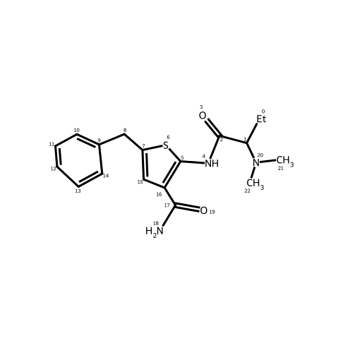 CCC(C(=O)Nc1sc(Cc2ccccc2)cc1C(N)=O)N(C)C